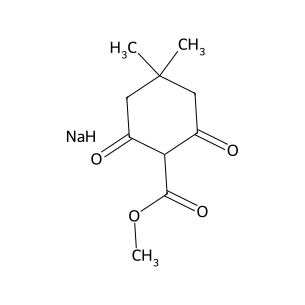 COC(=O)C1C(=O)CC(C)(C)CC1=O.[NaH]